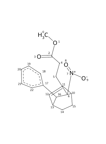 COC(=O)CCC1([N+](=O)[O-])C2C=CC(CC2)C1c1ccccc1